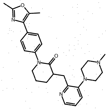 Cc1nc(-c2ccc(N3CCCC(Cc4ncccc4N4CCN(C)CC4)C3=O)cc2)c(C)o1